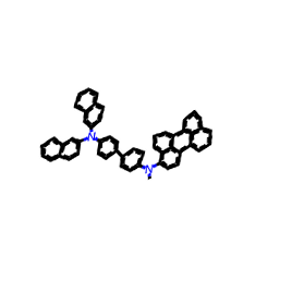 CN(c1ccc(-c2ccc(N(c3ccc4ccccc4c3)c3ccc4ccccc4c3)cc2)cc1)c1ccc2c3cccc4cccc(c5cccc1c52)c43